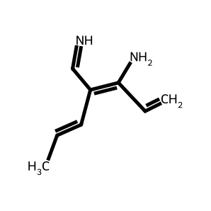 C=C/C(N)=C(C=N)\C=C\C